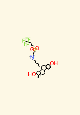 C=C1[C@H](O)CC2C3C(CC[C@]12C)c1ccc(O)cc1C[C@H]3CCCCCN(C)CCCS(=O)(=O)CCCC(F)(F)C(F)(F)F